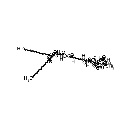 CCCCCCCCCCCCCCCCCC(=O)OC[C@H](COP(=O)(O)OCCNC(=O)OCCOCC(=O)NCCCCCCNC(=O)CNC(=O)CNC(=O)[C@H](CC(C)C)NC(=O)C1O[C@@H]1C(=O)N[C@@H](CC(C)C)C(=O)N1CCC[C@H]1C(=O)O)OC(=O)CCCCCCCCCCCCCCCCC